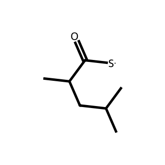 CC(C)CC(C)C(=O)[S]